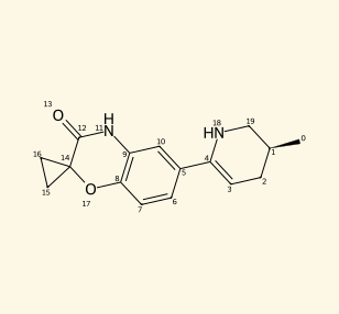 C[C@H]1CC=C(c2ccc3c(c2)NC(=O)C2(CC2)O3)NC1